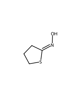 O/N=C1\CCCS1